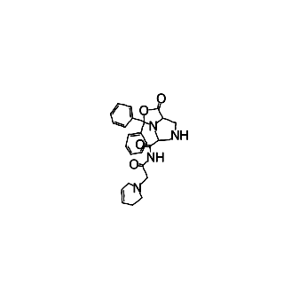 O=C(CN1CC=CCC1)NC(=O)C1CNCC2C(=O)OC(c3ccccc3)(c3ccccc3)N12